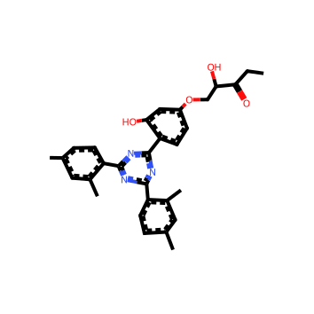 CCC(=O)C(O)COc1ccc(-c2nc(-c3ccc(C)cc3C)nc(-c3ccc(C)cc3C)n2)c(O)c1